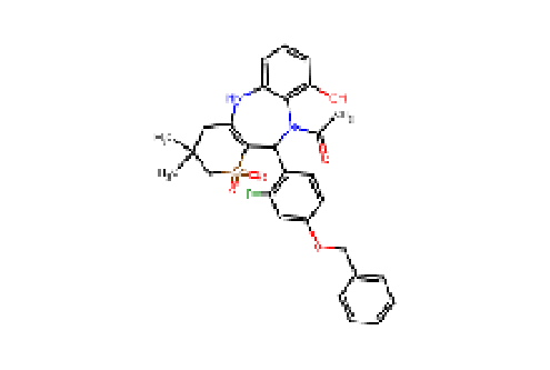 CC(=O)N1c2c(O)cccc2NC2=C(C1c1ccc(OCc3ccccc3)cc1F)S(=O)(=O)CC(C)(C)C2